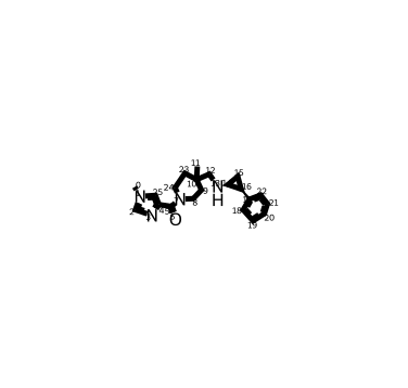 Cn1cnc(C(=O)N2CCC(C)(CN[C@@H]3C[C@H]3c3ccccc3)CC2)c1